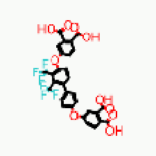 O=C(O)c1ccc(Oc2ccc(-c3ccc(Oc4ccc(C(=O)O)c(C(=O)O)c4)c(C(F)(F)F)c3C(F)(F)F)cc2)cc1C(=O)O